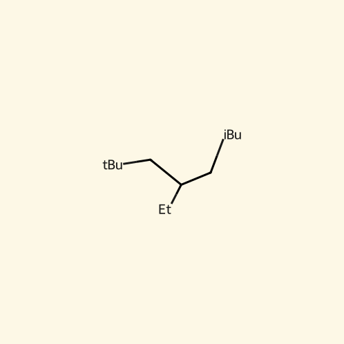 CCC(C)CC(CC)CC(C)(C)C